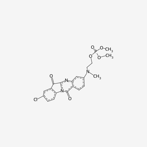 COP(=O)(OC)OCCN(C)c1ccc2c(=O)n3c(nc2c1)C(=O)c1cc(Cl)ccc1-3